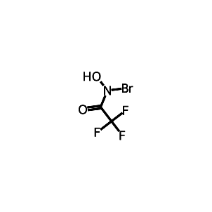 O=C(N(O)Br)C(F)(F)F